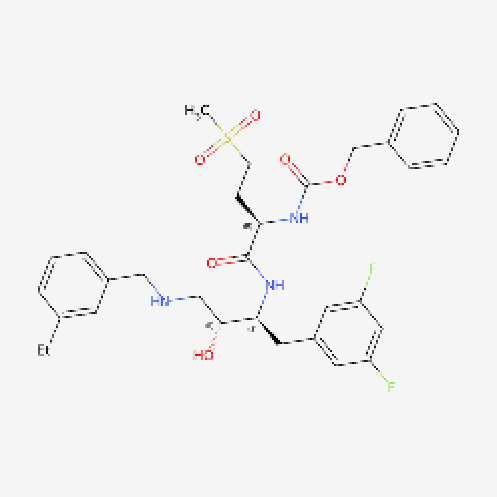 CCc1cccc(CNC[C@@H](O)[C@H](Cc2cc(F)cc(F)c2)NC(=O)[C@@H](CCS(C)(=O)=O)NC(=O)OCc2ccccc2)c1